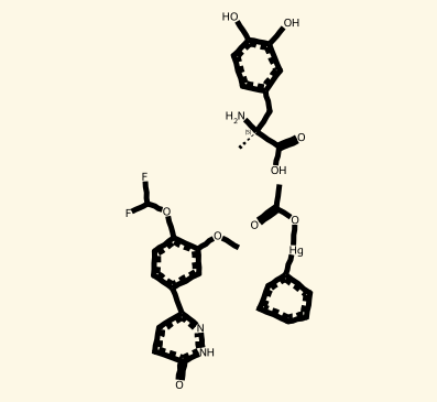 CC(=O)[O][Hg][c]1ccccc1.COc1cc(-c2ccc(=O)[nH]n2)ccc1OC(F)F.C[C@](N)(Cc1ccc(O)c(O)c1)C(=O)O